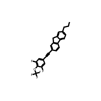 CCCc1ccc2c(c1)Cc1cc(C#Cc3cc(F)c(OC(F)(F)F)c(F)c3)ccc1-2